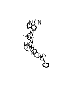 C[C@@H]1CN(c2ccc(C#N)c3ncccc23)C[C@H](CN2C[C@@H]3OCCN(c4ccc5c(n4)CCN(C(=O)OCc4ccccc4)C5)[C@@H]3C2)O1